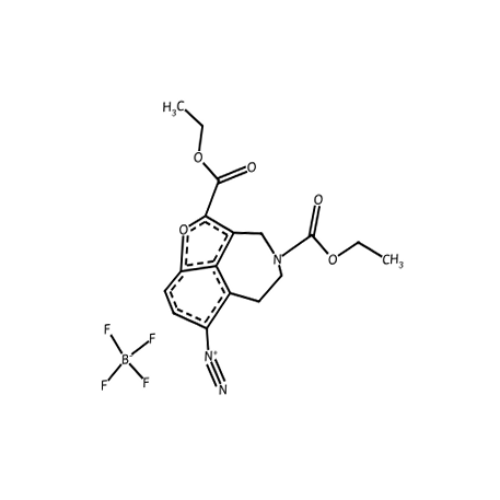 CCOC(=O)c1oc2ccc([N+]#N)c3c2c1CN(C(=O)OCC)CC3.F[B-](F)(F)F